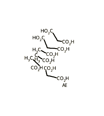 CC(=O)O.CC(=O)O.CC(=O)O.O=C(O)CC(=O)O.O=C(O)CC(=O)O.O=C(O)CC(=O)O.[Al]